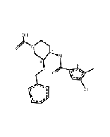 Cc1[nH]c(C(=O)N[C@@H]2CCN(C(=O)O)C[C@@H]2OCc2ccccc2)cc1Cl